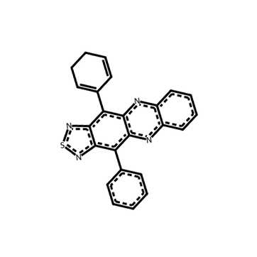 C1=CC(c2c3nsnc3c(-c3ccccc3)c3nc4ccccc4nc23)=CCC1